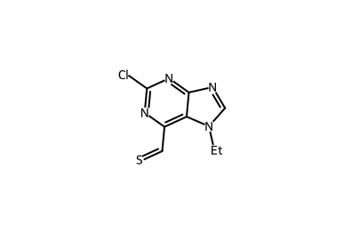 CCn1cnc2nc(Cl)nc(C=S)c21